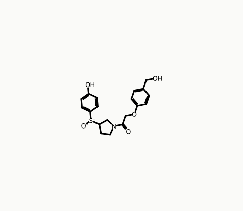 O=C(COc1ccc(CO)cc1)N1CCC([S+]([O-])c2ccc(O)cc2)C1